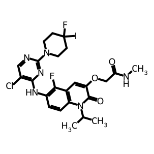 CNC(=O)COc1cc2c(F)c(Nc3nc(N4CCC(F)(I)CC4)ncc3Cl)ccc2n(C(C)C)c1=O